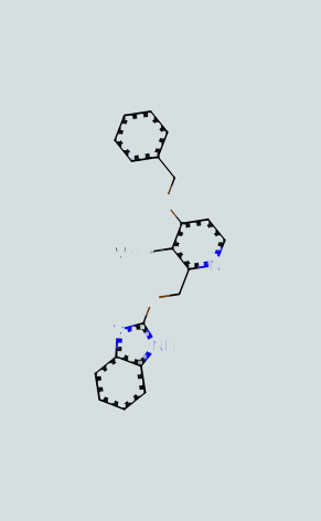 COc1c(SCc2ccccc2)ccnc1CSc1nc2ccccc2[nH]1